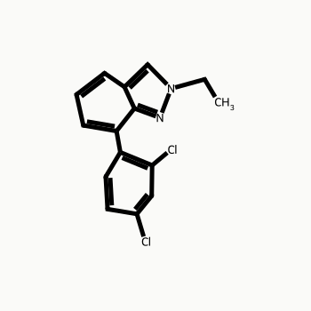 CCn1cc2cccc(-c3ccc(Cl)cc3Cl)c2n1